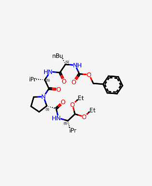 CCCC[C@H](NC(=O)OCc1ccccc1)C(=O)N[C@H](C(=O)N1CCC[C@H]1C(=O)N[C@@H](C(C)C)C(OCC)OCC)C(C)C